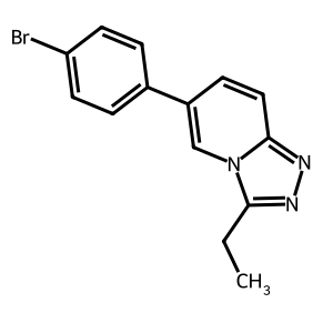 CCc1nnc2ccc(-c3ccc(Br)cc3)cn12